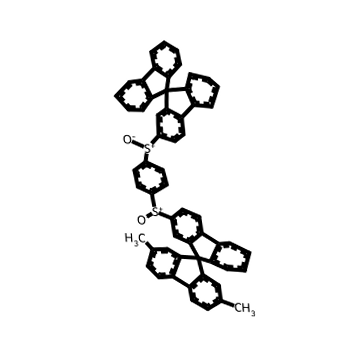 Cc1ccc2c(c1)C1(c3ccccc3-c3ccc([S+]([O-])c4ccc([S+]([O-])c5ccc6c(c5)C5(c7ccccc7-c7ccccc75)c5ccccc5-6)cc4)cc31)c1cc(C)ccc1-2